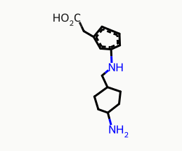 NC1CCC(CNc2cccc(CC(=O)O)c2)CC1